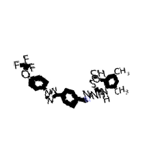 COc1cc(C)cc(C)c1NC(=S)N/N=C/c1ccc(-c2ncn(-c3ccc(OC(F)(F)F)cc3)n2)cc1